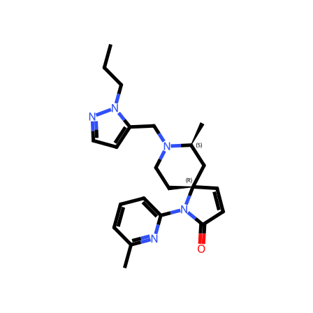 CCCn1nccc1CN1CC[C@]2(C=CC(=O)N2c2cccc(C)n2)C[C@@H]1C